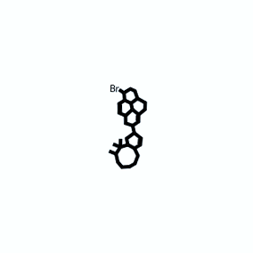 CC1CCCCCC2C=CC(C3C=C4CCC5CCC(Br)C6C=CC(C3)C4C56)CC2C1(C)C